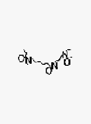 CCC(=O)N(C)CCCCCC(=O)N(C)CCCN(CC)C(C)=O